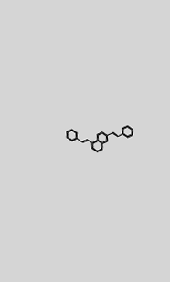 C(=Cc1ccc2c(C=Cc3ccccc3)cccc2c1)c1ccccc1